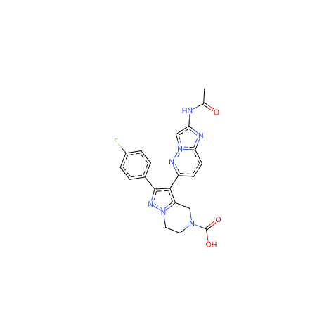 CC(=O)Nc1cn2nc(-c3c(-c4ccc(F)cc4)nn4c3CN(C(=O)O)CC4)ccc2n1